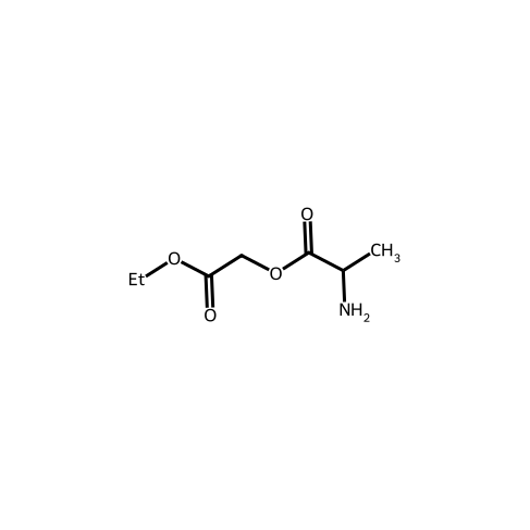 CCOC(=O)COC(=O)C(C)N